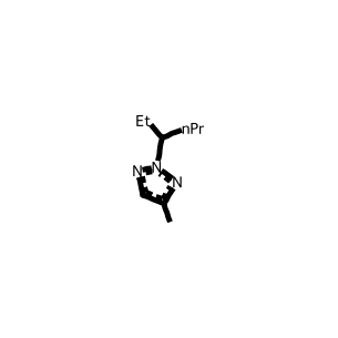 CCCC(CC)n1ncc(C)n1